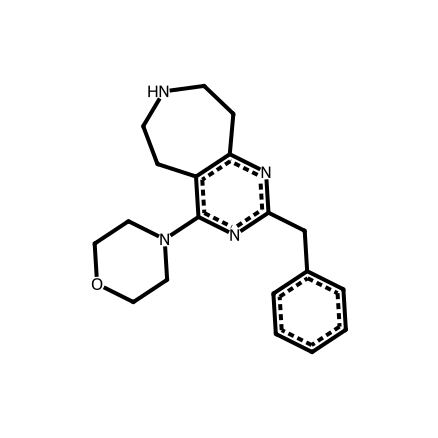 c1ccc(Cc2nc3c(c(N4CCOCC4)n2)CCNCC3)cc1